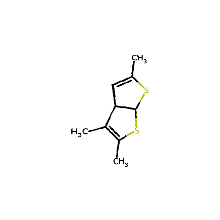 CC1=CC2C(C)=C(C)SC2S1